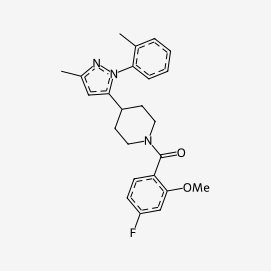 COc1cc(F)ccc1C(=O)N1CCC(c2cc(C)nn2-c2ccccc2C)CC1